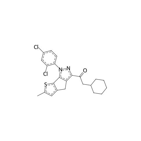 Cc1cc2c(s1)-c1c(c(C(=O)CC3CCCCC3)nn1-c1ccc(Cl)cc1Cl)C2